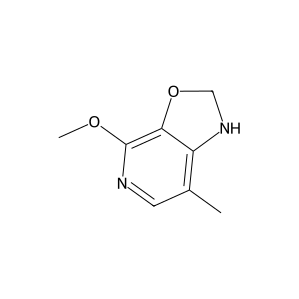 COc1ncc(C)c2c1OCN2